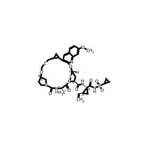 C=C[C@@H]1C[C@]1(NC(=O)[C@@H]1C[C@@H]2CN1C(=O)[C@H](C)NC(=O)N1CC[C@@H](C1)OCCCC1CC1c1cc3ccc(OC)cc3nc1O2)C(=O)NS(=O)(=O)C1CC1